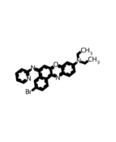 CCN(CC)c1ccc2nc3c4ccc(Br)cc4/c(=N\c4ccccn4)cc-3oc2c1